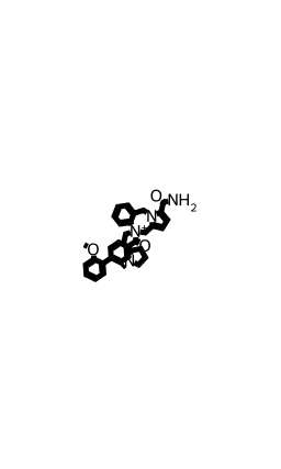 COc1ccccc1-c1ccc(C(=O)[N+]2(CCC3CCCN3C)Cc3ccc(C(N)=O)n3Cc3ccccc32)cc1